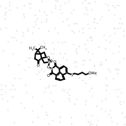 COCCCCSc1ccc2c3c(cccc13)C(=O)N(OS(=O)(=O)CC13CCC14C(CC3=O)C4(C)C)C2=O